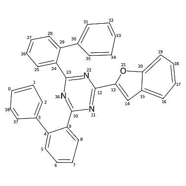 c1ccc(-c2ccccc2-c2nc(-c3cc4ccccc4o3)nc(-c3ccccc3-c3ccccc3)n2)cc1